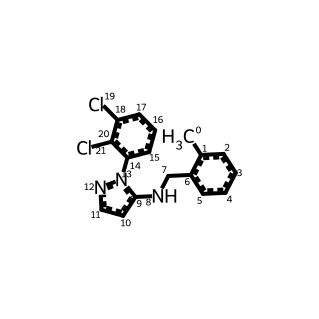 Cc1ccccc1CNc1ccnn1-c1cccc(Cl)c1Cl